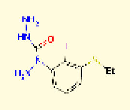 CCSc1cccc(N(N)C(=O)NN)c1I